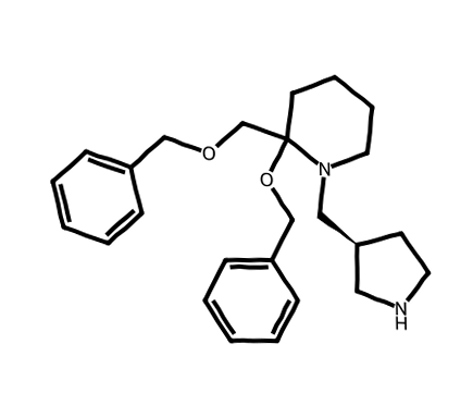 c1ccc(COCC2(OCc3ccccc3)CCCCN2C[C@H]2CCNC2)cc1